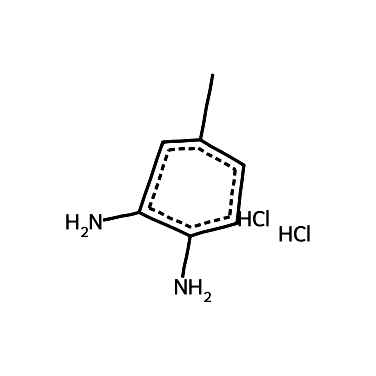 Cc1ccc(N)c(N)c1.Cl.Cl